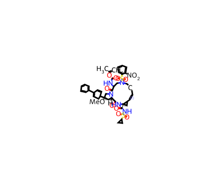 C=C(C)OC(=O)NC1CN(S(=O)(=O)c2ccccc2[N+](=O)[O-])CCC/C=C\C2C[C@@]2(C(=O)NS(=O)(=O)C2CC2)NC(=O)[C@@H]2C[C@@](OC)(C3C=CC(c4ccccc4)=CC3)CN2C1=O